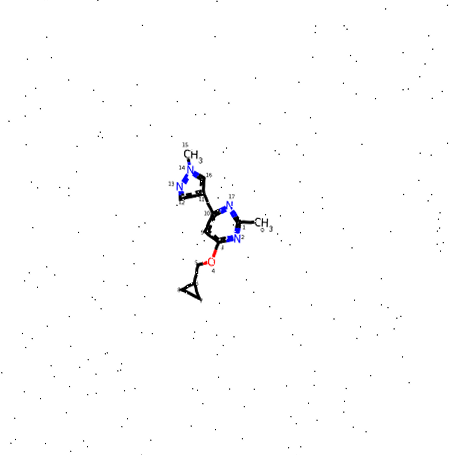 Cc1nc(OCC2CC2)cc(-c2cnn(C)c2)n1